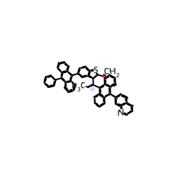 C=Cc1sc2ccc(-c3c4ccccc4c(-c4ccccc4)c4ccccc34)cc2c1/C(=C\C)c1c2ccccc2c(-c2ccc3cccnc3c2)c2ccccc12